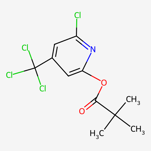 CC(C)(C)C(=O)Oc1cc(C(Cl)(Cl)Cl)cc(Cl)n1